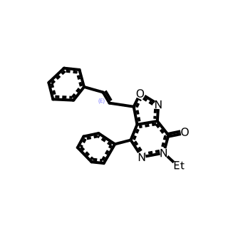 CCn1nc(-c2ccccc2)c2c(/C=C/c3ccccc3)onc2c1=O